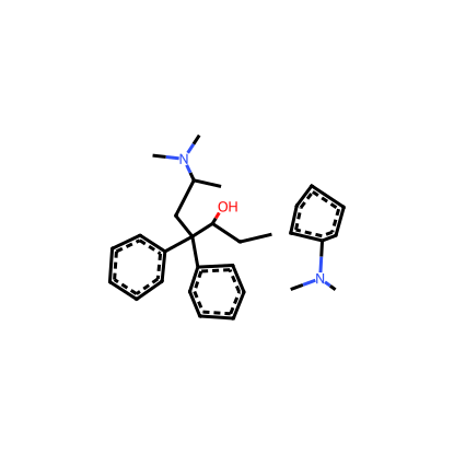 CCC(O)C(CC(C)N(C)C)(c1ccccc1)c1ccccc1.CN(C)c1ccccc1